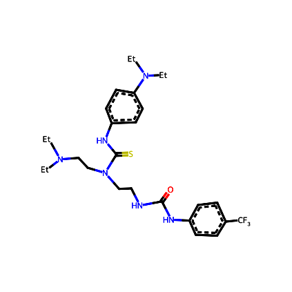 CCN(CC)CCN(CCNC(=O)Nc1ccc(C(F)(F)F)cc1)C(=S)Nc1ccc(N(CC)CC)cc1